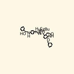 CC(C)(C)[Si](C)(C)O[C@@H](CNCCc1ccc(NC[C@H](O)c2ccccc2)cc1)c1ccc(OCc2ccccc2)c2[nH]c(=O)ccc12